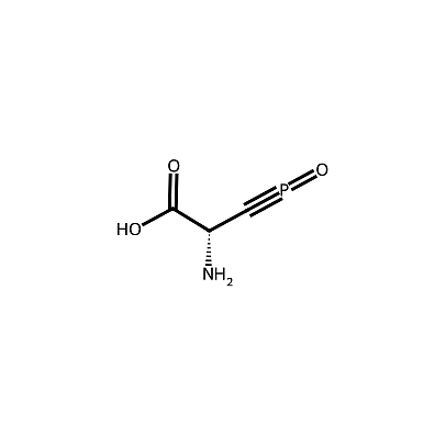 N[C@@H](C#P=O)C(=O)O